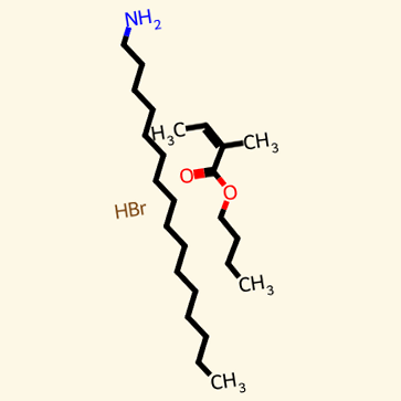 Br.CC=C(C)C(=O)OCCCC.CCCCCCCCCCCCCCCCN